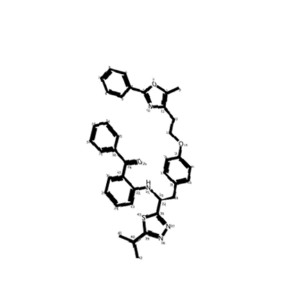 Cc1oc(-c2ccccc2)nc1CCOc1ccc(C[C@H](Nc2ccccc2C(=O)c2ccccc2)c2nnc(C(C)C)s2)cc1